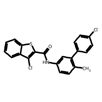 Cc1ccc(NC(=O)c2sc3ccccc3c2Cl)cc1-c1ccc(Cl)cc1